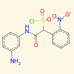 Nc1cccc(NC(=O)C(c2ccccc2[N+](=O)[O-])S(=O)(=O)Cl)c1